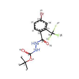 CC(C)(C)OC(=O)NNC(=O)c1ccc(Br)cc1C(F)(F)F